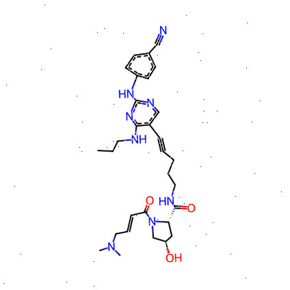 CCCNc1nc(Nc2ccc(C#N)cc2)ncc1C#CCCCNC(=O)[C@@H]1C[C@@H](O)CN1C(=O)/C=C/CN(C)C